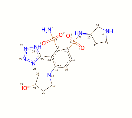 NS(=O)(=O)c1c(S(=O)(=O)N[C@@H]2CCNC2)ccc(N2CC[C@H](O)C2)c1-c1nnn[nH]1